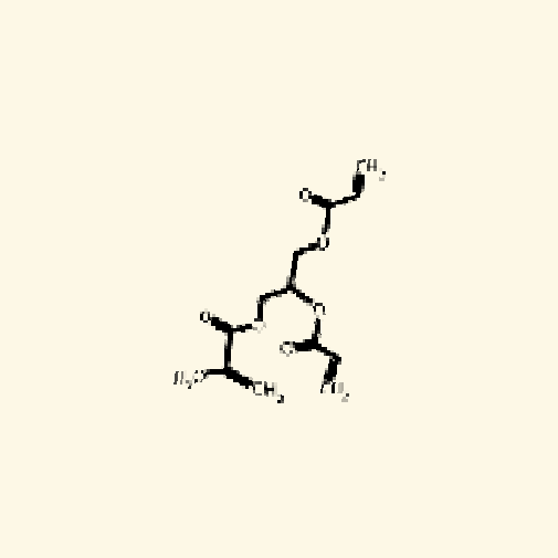 C=CC(=O)OCC(COC(=O)C(=C)C)OC(=O)C=C